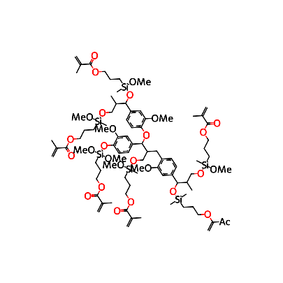 C=C(C)C(=O)OCCC[Si](C)(OC)OCC(C)C(O[Si](C)(C)CCCOC(=C)C(C)=O)c1ccc(CC(CO[Si](C)(CCCOC(=O)C(=C)C)OC)C(Oc2ccc(C(O[Si](C)(CCCOC(=O)C(=C)C)OC)C(C)CO[Si](C)(CCCOC(=O)C(=C)C)OC)cc2OC)c2ccc(O[Si](CCCOC(=O)C(=C)C)(OC)OC)c(OC)c2)c(OC)c1